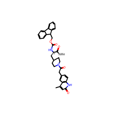 CNC(=O)[C@@H](CC1CCN(C(=O)Cc2ccc3[nH]c(=O)cc(C)c3c2)CC1)NC(=O)OCC1c2ccccc2-c2ccccc21